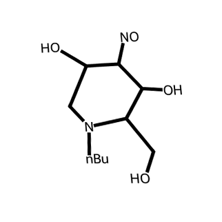 CCCCN1CC(O)C(N=O)C(O)C1CO